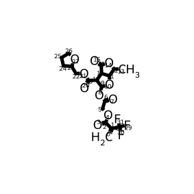 C=C(C(=O)OCC(=O)OC1OC2C(C)OC(=O)C2C1C(=O)OCC1CCCO1)C(F)(F)F